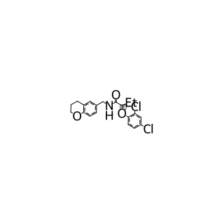 CC[C@@H](Oc1ccc(Cl)cc1Cl)C(=O)NCc1ccc2c(c1)CCCO2